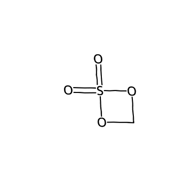 O=S1(=O)OCO1